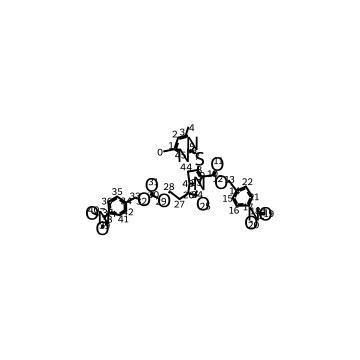 Cc1cc(C)nc(SC2=C(C(=O)OCc3ccc([N+](=O)[O-])cc3)N3C(=O)C(CCOC(=O)OCc4ccc([N+](=O)[O-])cc4)C3C2)n1